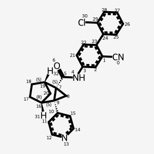 N#Cc1cc(NC(=O)[C@]23C[C@@]2(c2ccncc2)[C@@H]2CC[C@H]3C2)ccc1-c1ccccc1Cl